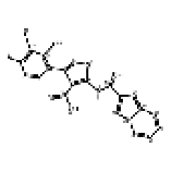 Cc1ccc(-c2csc(NC(=O)c3cc4ccccn4c3)c2C(=O)O)c(F)c1F